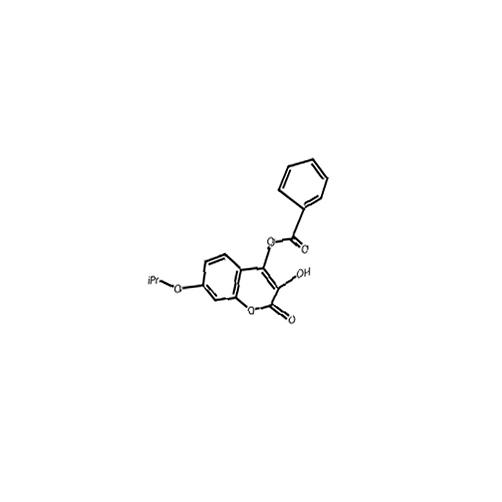 CC(C)Oc1ccc2c(OC(=O)c3ccccc3)c(O)c(=O)oc2c1